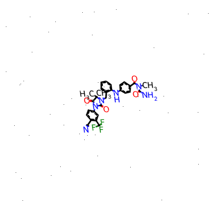 CN(C(N)=O)C(=O)c1ccc(Nc2ccccc2CN2C(=O)N(c3ccc(C#N)c(C(F)(F)F)c3)C(=O)C2(C)C)cc1